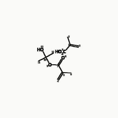 C=C(C)C(=O)O.C=C(C)C(=O)OC(C)(C)O